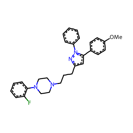 COc1ccc(-c2cc(CCCN3CCN(c4ccccc4F)CC3)nn2-c2ccccc2)cc1